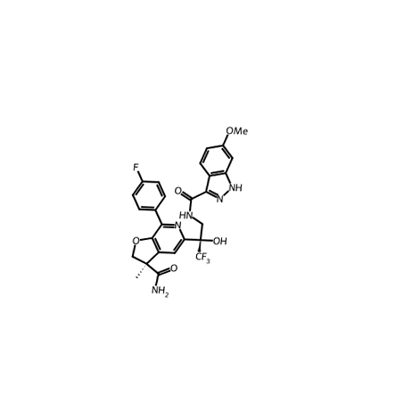 COc1ccc2c(C(=O)NC[C@](O)(c3cc4c(c(-c5ccc(F)cc5)n3)OC[C@]4(C)C(N)=O)C(F)(F)F)n[nH]c2c1